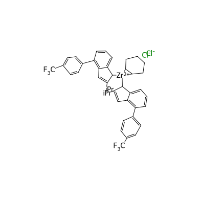 CC(C)C1=Cc2c(-c3ccc(C(F)(F)F)cc3)cccc2[CH]1[Zr+2]1([CH]2C(C(C)C)=Cc3c(-c4ccc(C(F)(F)F)cc4)cccc32)[CH]2CCCC[CH]21.[Cl-].[Cl-]